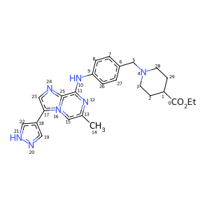 CCOC(=O)C1CCN(Cc2ccc(Nc3nc(C)cn4c(-c5cn[nH]c5)cnc34)cc2)CC1